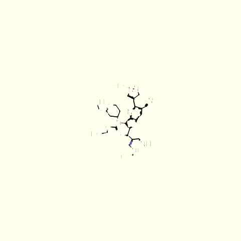 CCOC(=O)N(c1c(C(=O)/C(C=N)=C/NC)oc2cc(C#N)c(C3=CN(C)NC3)nc12)[C@H]1CCO[C@@H](CC)C1